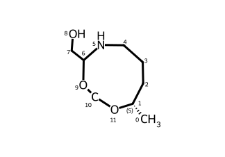 C[C@H]1CCCNC(CO)OCO1